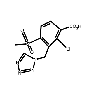 CS(=O)(=O)c1ccc(C(=O)O)c(Cl)c1Cn1cnnn1